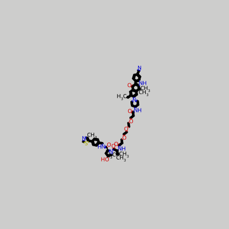 CCc1cc2c(cc1N1CCC(NC(=O)CCOCCOCCOCCC(=O)N[C@H](C(=O)N3C[C@H](O)C[C@H]3C(=O)NCc3ccc(-c4scnc4C)cc3)C(C)(C)C)CC1)C(C)(C)c1[nH]c3cc(C#N)ccc3c1C2=O